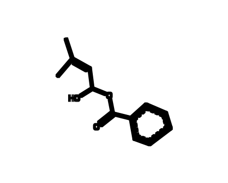 CC(C)=CC(O)OC(=O)c1ccccc1